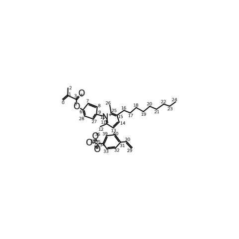 C=C(C)C(=O)Oc1ccc(-[n+]2c(C)ccc(CCCCCCCCC)c2C)cc1.C=Cc1ccc(S(=O)(=O)[O-])cc1